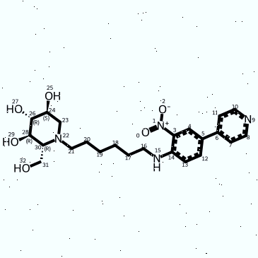 O=[N+]([O-])c1cc(-c2ccncc2)ccc1NCCCCCCN1C[C@H](O)[C@@H](O)[C@H](O)[C@H]1CO